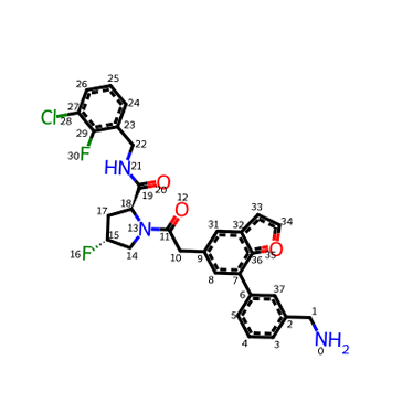 NCc1cccc(-c2cc(CC(=O)N3C[C@H](F)C[C@H]3C(=O)NCc3cccc(Cl)c3F)cc3ccoc23)c1